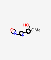 COc1ccc(-c2ccc(CN3CCOCC3)cn2)cc1CO